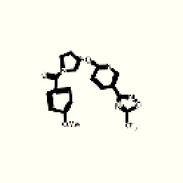 COc1ccc(C(=O)N2CC[C@H](Oc3ccc(-c4noc(C(F)(F)F)n4)cn3)C2)cc1